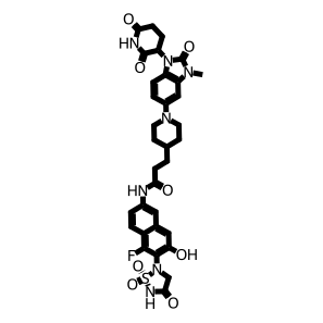 Cn1c(=O)n(C2CCC(=O)NC2=O)c2ccc(N3CCC(CCC(=O)Nc4ccc5c(F)c(N6CC(=O)NS6(=O)=O)c(O)cc5c4)CC3)cc21